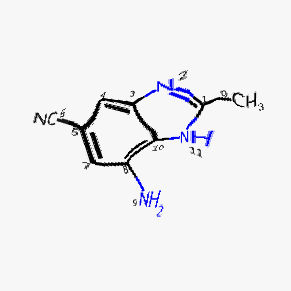 Cc1nc2cc(C#N)cc(N)c2[nH]1